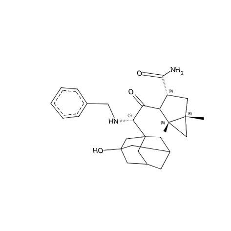 C[C@]12C[C@@H](C(N)=O)C(C(=O)[C@@H](NCc3ccccc3)C34CC5CC(CC(O)(C5)C3)C4)[C@@]1(C)C2